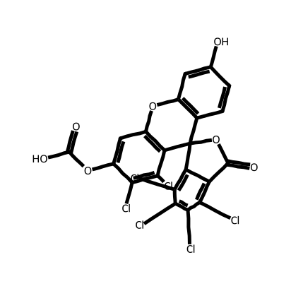 O=C(O)Oc1cc2c(c(Cl)c1Cl)C1(OC(=O)c3c(Cl)c(Cl)c(Cl)c(Cl)c31)c1ccc(O)cc1O2